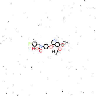 COc1cc2nccc(Oc3ccc(N(Cc4ccc(F)cc4)C(=O)O)cc3)c2cc1OC